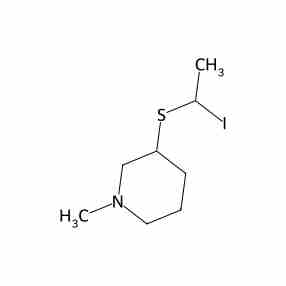 CC(I)SC1CCCN(C)C1